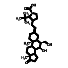 CC(C)(C)C1C(C/C=C2\CC[C@]3(C)C4CC[C@]5(C)C(=O)CCC5C4[C@H](O)[C@H](CO)C3C2)CCN1C(=O)O